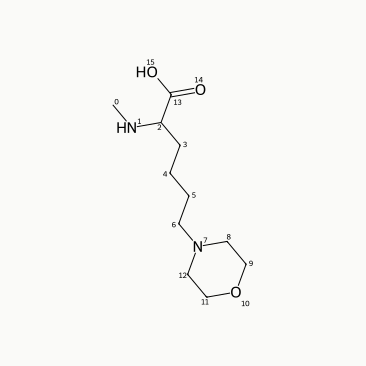 CNC(CCCCN1CCOCC1)C(=O)O